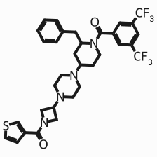 O=C(c1ccsc1)N1CC(N2CCN(C3CCN(C(=O)c4cc(C(F)(F)F)cc(C(F)(F)F)c4)C(Cc4ccccc4)C3)CC2)C1